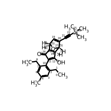 CCc1cc(C)cc(CC)c1C1=C(O)[C@H]2[C@@H](C1=O)[C@@H]1C=C(C#C[Si](C)(C)C)[C@H]2O1